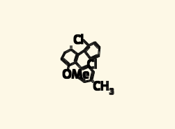 COC1=CC[CH]C(c2c(Cl)cccc2Cl)=C1c1ccc(C)cc1